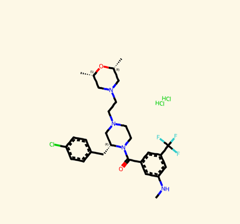 CNc1cc(C(=O)N2CCN(CCN3C[C@@H](C)O[C@@H](C)C3)C[C@H]2Cc2ccc(Cl)cc2)cc(C(F)(F)F)c1.Cl.Cl